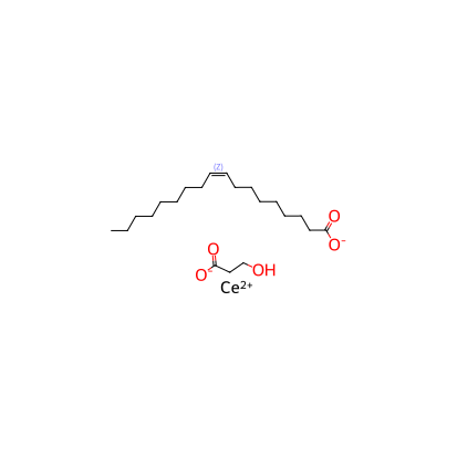 CCCCCCCC/C=C\CCCCCCCC(=O)[O-].O=C([O-])CCO.[Ce+2]